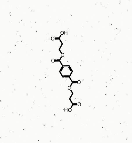 O=C(O)CCOC(=O)c1ccc(C(=O)OCCC(=O)O)cc1